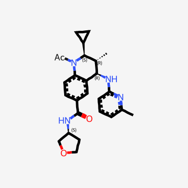 CC(=O)N1c2ccc(C(=O)N[C@H]3CCOC3)cc2[C@H](Nc2cccc(C)n2)[C@@H](C)[C@@H]1C1CC1